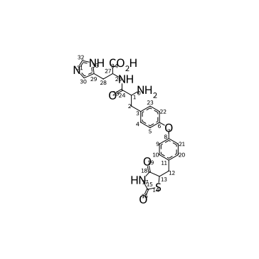 NC(Cc1ccc(Oc2ccc(CC3SC(=O)NC3=O)cc2)cc1)C(=O)NC(Cc1cnc[nH]1)C(=O)O